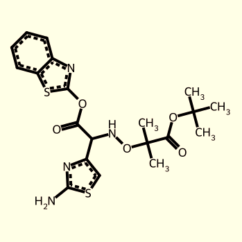 CC(C)(C)OC(=O)C(C)(C)ONC(C(=O)Oc1nc2ccccc2s1)c1csc(N)n1